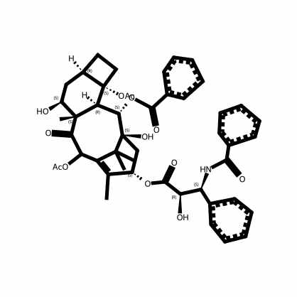 CC(=O)OC1C(=O)[C@@]2(C)[C@H]([C@H](OC(=O)c3ccccc3)[C@]3(O)C[C@H](OC(=O)[C@H](O)[C@@H](NC(=O)c4ccccc4)c4ccccc4)C(C)=C1C3(C)C)[C@]1(OC(C)=O)CC[C@@H]1C[C@@H]2O